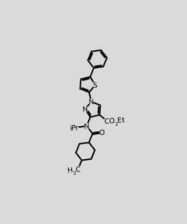 CCOC(=O)c1cn(-c2ccc(-c3ccccc3)s2)nc1N(C(=O)C1CCC(C)CC1)C(C)C